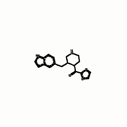 O=C(c1ncco1)C1CCNCC1Cc1ccc2[nH]ccc2c1